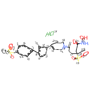 CCS(=O)(=O)c1ccc(-c2ccc(C3=CCN(CCC(C)(C(=O)NO)S(C)(=O)=O)CC3)cc2)cc1.Cl